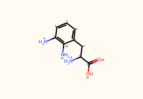 Nc1cccc(CC(N)C(=O)O)c1N